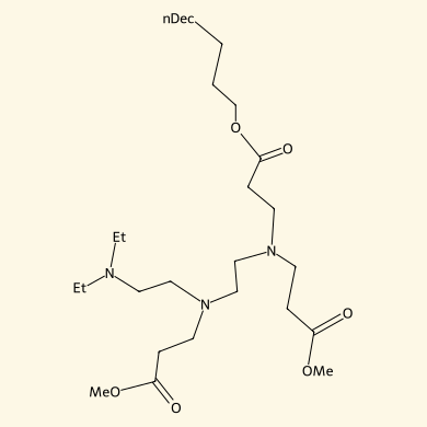 CCCCCCCCCCCCCOC(=O)CCN(CCC(=O)OC)CCN(CCC(=O)OC)CCN(CC)CC